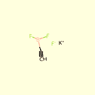 C#CB(F)F.[F-].[K+]